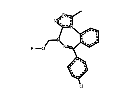 CCOCN1N=C(c2ccc(Cl)cc2)c2ccccc2-n2c(C)nnc21